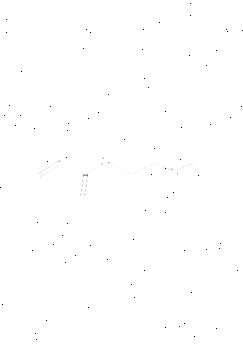 C=CC(=O)NCCNCl